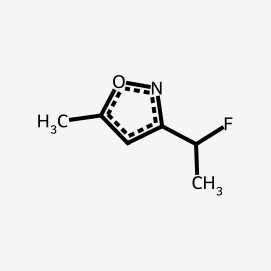 Cc1cc(C(C)F)no1